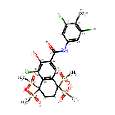 CS(=O)(=O)C1(S(C)(=O)=O)CCC(S(C)(=O)=O)(S(C)(=O)=O)c2c1cc(C(=O)Nc1cc(F)c(C(=O)O)c(F)c1)c(O)c2Cl